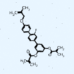 C=C(C)COc1ccc(-c2ccc(-c3cc(OC(=O)C(=C)C)cc(OC(=O)C(=C)C)c3)cc2F)cc1